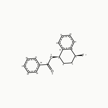 O=C(O[C@@H]1CC[C@H](F)c2ccccc21)c1ccccc1